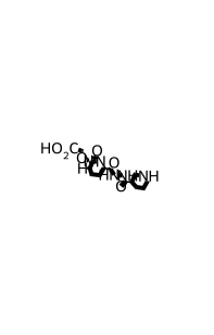 O=C(O)CON1C(=O)N2C[C@@H]1CC[C@@H]2C(=O)NNC(=O)[C@@H]1CCCNC1